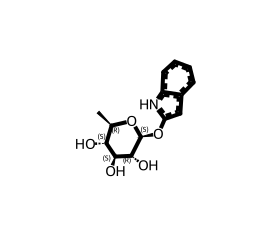 C[C@H]1O[C@@H](Oc2cc3ccccc3[nH]2)[C@H](O)[C@@H](O)[C@@H]1O